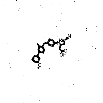 COc1cccc(-c2ccc(Cc3ccc(N4N=C(C#N)CC4CC(=O)O)cc3)c(C)c2)c1